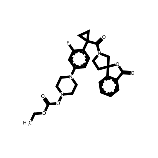 CCOC(=O)ON1CCN(c2ccc(C3(C(=O)N4CCC5(C4)OC(=O)c4ccccc45)CC3)c(F)c2)CC1